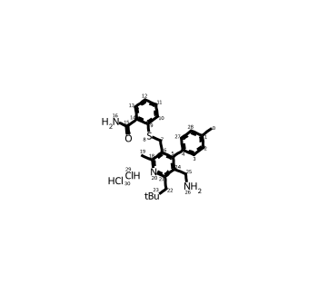 Cc1ccc(-c2c(CSc3ccccc3C(N)=O)c(C)nc(CC(C)(C)C)c2CN)cc1.Cl.Cl